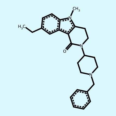 CCc1ccc2c(c1)c1c(n2C)CCN(C2CCN(Cc3ccccc3)CC2)C1=O